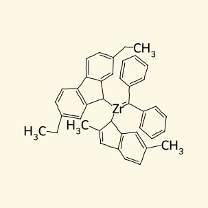 CCc1ccc2c(c1)[CH]([Zr](=[C](c1ccccc1)c1ccccc1)[CH]1C(C)=Cc3ccc(C)cc31)c1cc(CC)ccc1-2